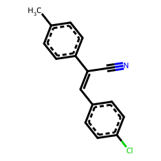 Cc1ccc(C(C#N)=Cc2ccc(Cl)cc2)cc1